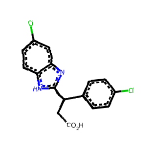 O=C(O)CC(c1ccc(Cl)cc1)c1nc2cc(Cl)ccc2[nH]1